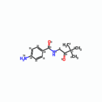 CC(C)(C)C(=O)CNC(=O)c1ccc(N)cc1